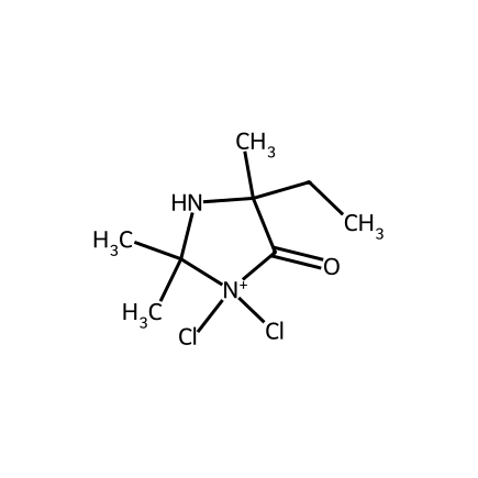 CCC1(C)NC(C)(C)[N+](Cl)(Cl)C1=O